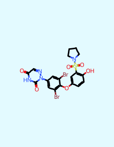 O=c1cnn(-c2cc(Br)c(Oc3ccc(O)c(S(=O)(=O)N4CCCC4)c3)c(Br)c2)c(=O)[nH]1